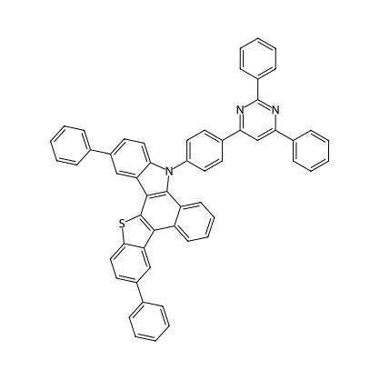 c1ccc(-c2ccc3sc4c(c3c2)c2ccccc2c2c4c3cc(-c4ccccc4)ccc3n2-c2ccc(-c3cc(-c4ccccc4)nc(-c4ccccc4)n3)cc2)cc1